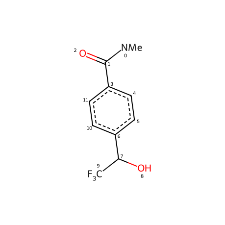 CNC(=O)c1ccc(C(O)C(F)(F)F)cc1